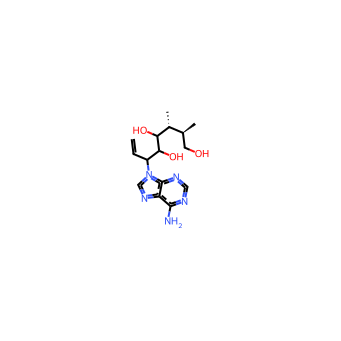 C=CC(C(O)C(O)[C@H](C)[C@@H](C)CO)n1cnc2c(N)ncnc21